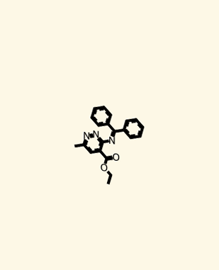 CCOC(=O)c1cc(C)nnc1N=C(c1ccccc1)c1ccccc1